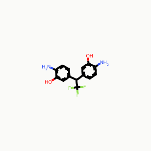 Nc1ccc(C(c2ccc(N)c(O)c2)C(F)(F)F)cc1O